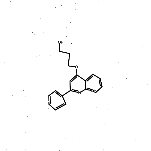 OCCCOc1cc(-c2ccccc2)nc2ccccc12